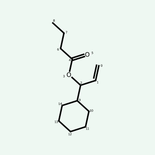 C=CC(OC(=O)CCC)C1CCCCC1